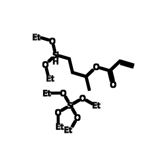 C=CC(=O)OC(C)CC[SiH](OCC)OCC.CCO[Si](OCC)(OCC)OCC